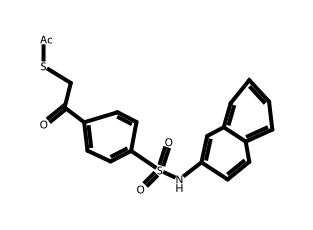 CC(=O)SCC(=O)c1ccc(S(=O)(=O)Nc2ccc3ccccc3c2)cc1